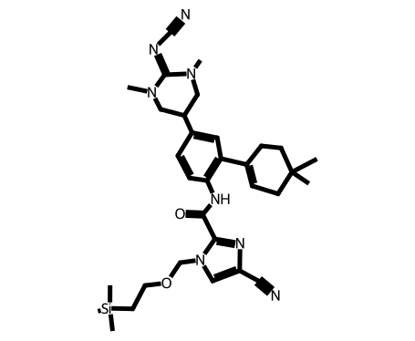 CN1CC(c2ccc(NC(=O)c3nc(C#N)cn3COCC[Si](C)(C)C)c(C3=CCC(C)(C)CC3)c2)CN(C)C1=NC#N